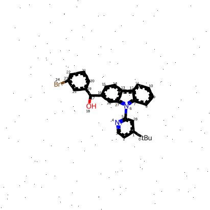 CC(C)(C)c1ccnc(-n2c3ccccc3c3ccc(C(O)c4cccc(Br)c4)cc32)c1